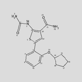 NC(=O)Nc1sc(-c2ccccc2OC2CCCC2)cc1C(N)=O